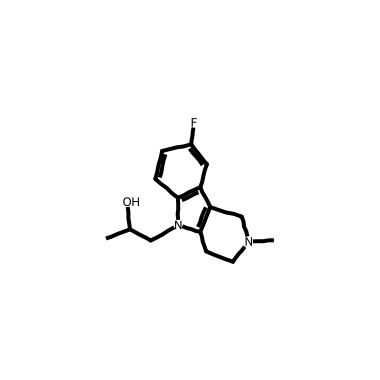 CC(O)Cn1c2c(c3cc(F)ccc31)CN(C)CC2